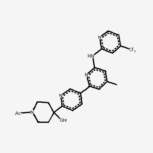 CC(=O)N1CCC(O)(c2ccc(-c3cc(C)cc(Nc4cc(C(F)(F)F)ccn4)n3)cn2)CC1